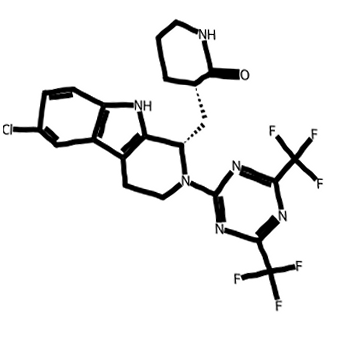 O=C1NCCC[C@H]1C[C@H]1c2[nH]c3ccc(Cl)cc3c2CCN1c1nc(C(F)(F)F)nc(C(F)(F)F)n1